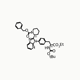 CCOC(=O)[C@H](Cc1ccc(-n2c([C@@H]3CCCCN3C(=O)OCc3ccccc3)nc3cccnc32)cc1)NC(=O)OC(C)(C)C